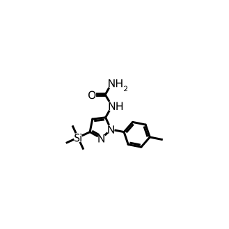 Cc1ccc(-n2nc([Si](C)(C)C)cc2NC(N)=O)cc1